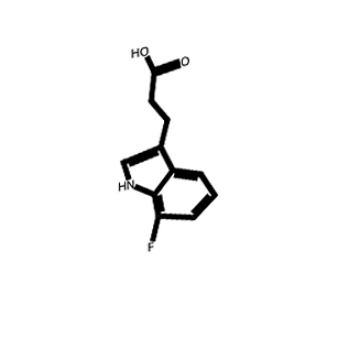 O=C(O)CCc1c[nH]c2c(F)cccc12